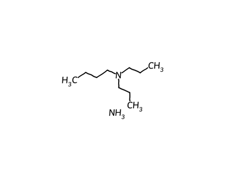 CCCCN(CCC)CCC.N